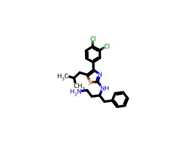 CC(C)Cc1sc(NC(CCN)Cc2ccccc2)nc1-c1ccc(Cl)c(Cl)c1